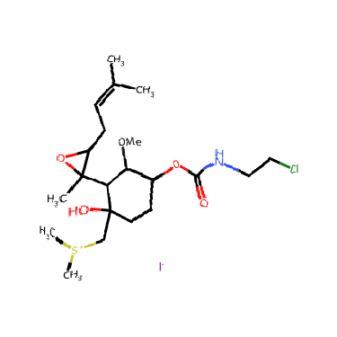 COC1C(OC(=O)NCCCl)CCC(O)(C[S+](C)C)C1C1(C)OC1CC=C(C)C.[I-]